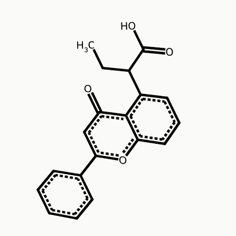 CCC(C(=O)O)c1cccc2oc(-c3ccccc3)cc(=O)c12